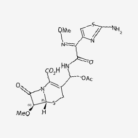 CON=C(C(=O)NC(OC(C)=O)C1=C(C(=O)O)N2C(=O)[C@H](OC)[C@H]2SC1)c1csc(N)n1